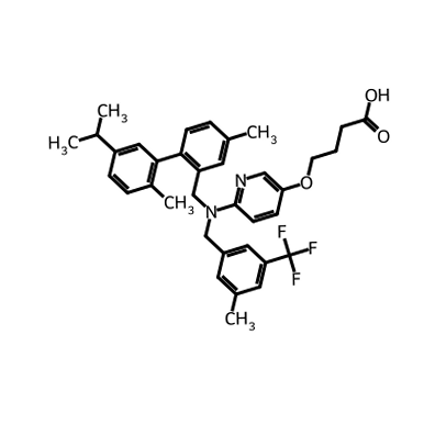 Cc1cc(CN(Cc2cc(C)ccc2-c2cc(C(C)C)ccc2C)c2ccc(OCCCC(=O)O)cn2)cc(C(F)(F)F)c1